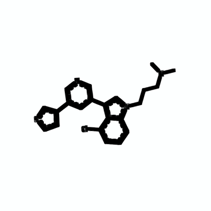 CN(C)CCCn1cc(-c2cncc(-c3ccsc3)c2)c2c(Cl)cccc21